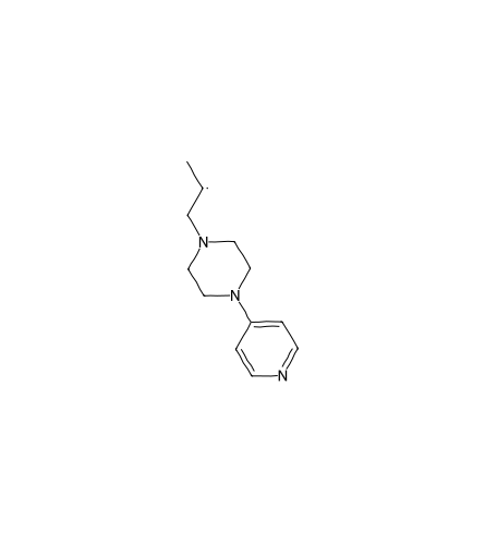 C[CH]CN1CCN(c2ccncc2)CC1